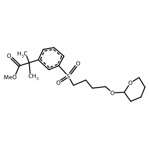 COC(=O)C(C)(C)c1cccc(S(=O)(=O)CCCCOC2CCCCO2)c1